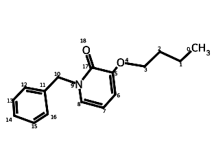 CCCCOc1cccn(Cc2ccccc2)c1=O